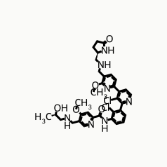 COc1cc(C(=O)Nc2cccc(-c3nccc(-c4ccc(CNC[C@H]5CCC(=O)N5)c(OC)n4)c3Cl)c2Cl)ncc1CNC[C@@H](C)O